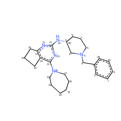 c1ccc(CN2CCC[C@@H](Nc3nc4c(c(N5CCCCCC5)n3)CCC4)C2)cc1